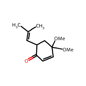 COC1(OC)C=CC(=O)C(C=C(C)C)C1